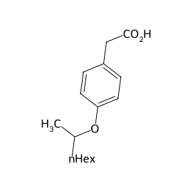 CCCCCCC(C)Oc1ccc(CC(=O)O)cc1